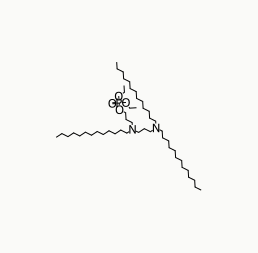 CCCCCCCCCCCCCN(CCCCCCCCCCCCC)CCCN(CCCCCCCCCCCCC)CCCOP(=O)(OCC)OCC